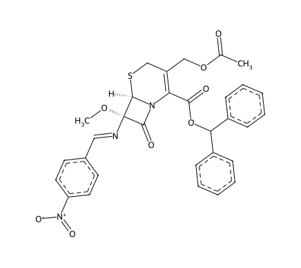 CO[C@@]1(N=Cc2ccc([N+](=O)[O-])cc2)C(=O)N2C(C(=O)OC(c3ccccc3)c3ccccc3)=C(COC(C)=O)CS[C@@H]21